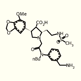 CCCCN(C(=O)CN1C[C@H](c2cc(OC)c3c(c2)OCO3)[C@@H](C(=O)O)[C@@H]1CCNS(C)(=O)=O)c1cccc(CN)c1